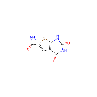 NC(=O)c1cc2c(=O)[nH]c(=O)[nH]c2s1